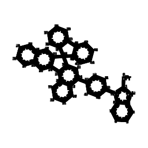 CCCc1nc2ccccc2n1-c1ccc(-c2cc3c(c4ccccc24)-c2cc4ccccc4cc2C32c3ccccc3-c3ccccc32)cc1